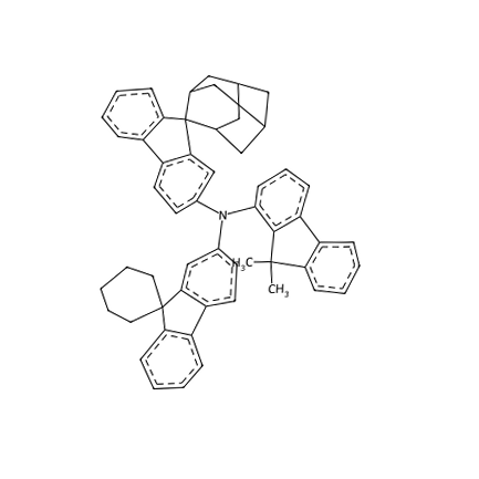 CC1(C)c2ccccc2-c2cccc(N(c3ccc4c(c3)C3(CCCCC3)c3ccccc3-4)c3ccc4c(c3)C3(c5ccccc5-4)C4CC5CC(C4)CC3C5)c21